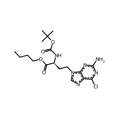 CCCCOC(=O)[C@H](CCn1cnc2c(Cl)nc(N)nc21)NC(=O)OC(C)(C)C